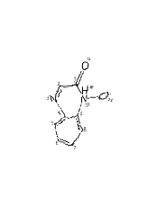 O=C1C=Nc2ccccc2[NH+]1[O-]